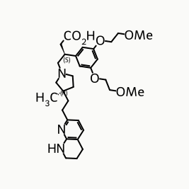 COCCOc1cc(OCCOC)cc([C@H](CC(=O)O)CN2CC[C@@](C)(CCc3ccc4c(n3)NCCC4)C2)c1